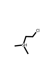 C[SH](C)CCCl